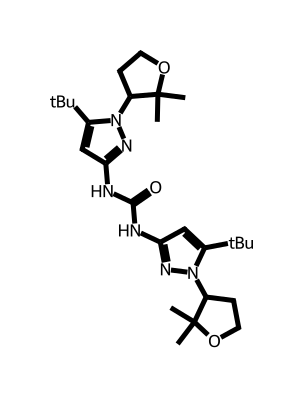 CC(C)(C)c1cc(NC(=O)Nc2cc(C(C)(C)C)n(C3CCOC3(C)C)n2)nn1C1CCOC1(C)C